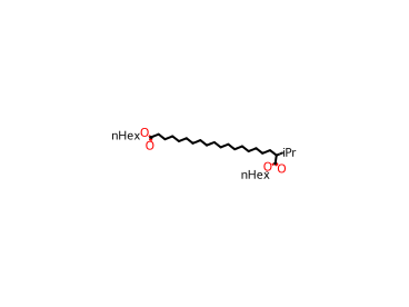 CCCCCCOC(=O)CCCCCCCCCCCCCCCCCC(C(=O)OCCCCCC)C(C)C